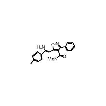 CNC(=O)c1c(-c2ccccc2)noc1C=C(N)c1ccc(C)cc1